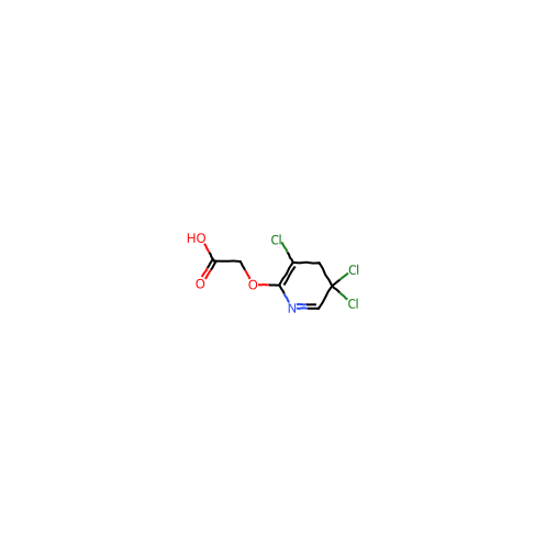 O=C(O)COC1=C(Cl)CC(Cl)(Cl)C=N1